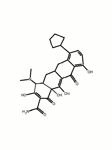 CN(C)C1C(O)=C(C(N)=O)C(=O)C2(O)C(O)=C3C(=O)c4c(O)ccc(C5CCCC5)c4CC3CC12